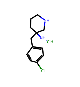 Cl.NC1(Cc2ccc(Cl)cc2)CCCNC1